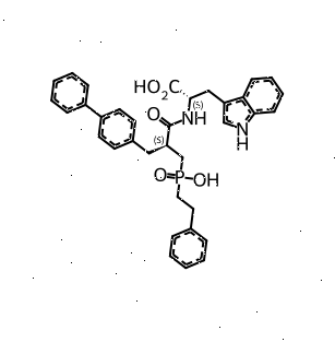 O=C(N[C@@H](Cc1c[nH]c2ccccc12)C(=O)O)[C@H](Cc1ccc(-c2ccccc2)cc1)CP(=O)(O)CCc1ccccc1